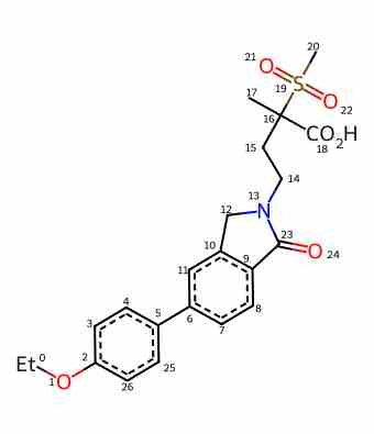 CCOc1ccc(-c2ccc3c(c2)CN(CCC(C)(C(=O)O)S(C)(=O)=O)C3=O)cc1